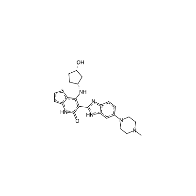 CN1CCN(c2ccc3nc(-c4c(N[C@@H]5CC[C@H](O)C5)c5sccc5[nH]c4=O)[nH]c3c2)CC1